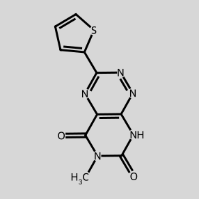 Cn1c(=O)[nH]c2nnc(-c3cccs3)nc2c1=O